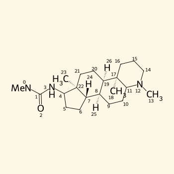 CNC(=O)NC1CC[C@H]2[C@@H]3CCC4N(C)CCC[C@]4(C)[C@@H]3CC[C@]12C